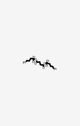 CCC(CC)(CCCC(C)C)OC(=O)CCC(=O)OC(CC)(CC)CCCC(C)C